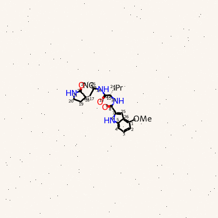 COc1cccc2[nH]c(C(=O)N[C@H](C(=O)N[C@H](C#N)C[C@@H]3CCNC3=O)C(C)C)cc12